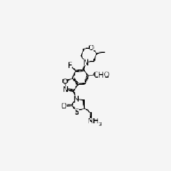 CC1CN(c2c(C=O)cc3c(N4CC(CN)SC4=O)noc3c2F)CCO1